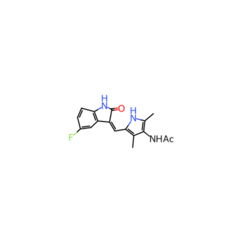 CC(=O)Nc1c(C)[nH]c(C=C2C(=O)Nc3ccc(F)cc32)c1C